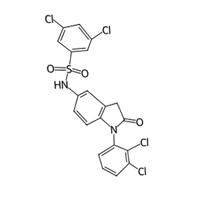 O=C1Cc2cc(NS(=O)(=O)c3cc(Cl)cc(Cl)c3)ccc2N1c1cccc(Cl)c1Cl